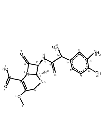 COC1=C(C(=O)O)N2C(=O)[C@@H](NC(=O)C(N)c3ccc(O)c(N)c3)[C@H]2SC1